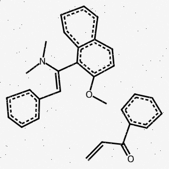 C=CC(=O)c1ccccc1.COc1ccc2ccccc2c1C(=Cc1ccccc1)N(C)C